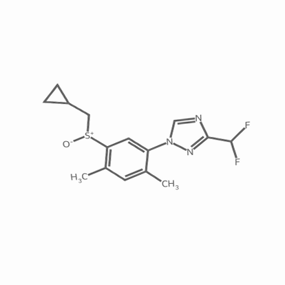 Cc1cc(C)c([S+]([O-])CC2CC2)cc1-n1cnc(C(F)F)n1